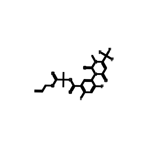 C=CCOC(=O)C(C)(C)OC(=O)c1cc(-n2c(=O)cc(C(F)(F)F)n(C)c2=O)c(F)cc1I